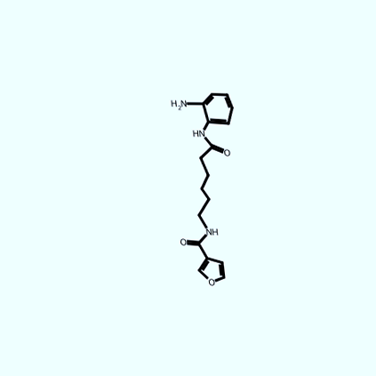 Nc1ccccc1NC(=O)CCCCCNC(=O)c1ccoc1